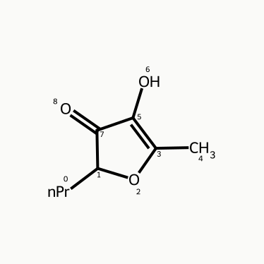 CCCC1OC(C)=C(O)C1=O